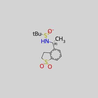 C[C@@H](N[S+]([O-])C(C)(C)C)c1cccc2c1CCS2(=O)=O